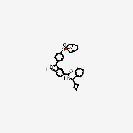 O=CN1C2CCC1CC(Oc1ccc(-c3n[nH]c4ccc(C(=O)NC(c5ccccc5)C5CCC5)cc34)cc1)C2